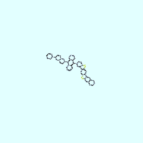 c1ccc(-c2ccc3cc(-c4c5ccccc5c(-c5ccc6sc7cc8c(cc7c6c5)sc5cc6ccccc6cc58)c5ccccc45)ccc3c2)cc1